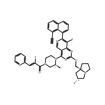 C#Cc1cccc2cccc(-c3ncc4c(N5CCN(C(=O)/C(F)=C/c6ccccn6)C[C@@H]5C)nc(OC[C@@]56CCCN5C[C@H](F)C6)nc4c3F)c12